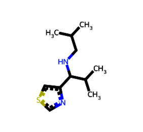 CC(C)CNC(c1cscn1)C(C)C